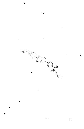 C=CCNC(=O)c1ccc(-c2ccc3c(c2)COC(C2CCN(C(=O)OCC)CC2)O3)cc1